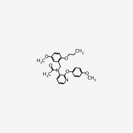 [CH2]CCOc1ccc(OC)cc1CN(C(C)=O)c1cccnc1Oc1ccc(OC)cc1